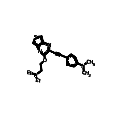 CCN(CC)CCOc1nc2cscc2nc1C#Cc1ccc(N(C)C)cc1